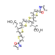 O=C(O)CCc1cc(-c2ccc(-c3ncco3)s2)sc1-c1ccc(-c2sc(-c3ccc(-c4ncco4)s3)cc2CCC(=O)O)s1